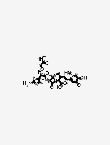 CNC(=O)CO/N=C(\C(=O)N[C@@H]1C(=O)N2C(C(=O)O)=C(C=Cc3cc(=O)c(O)cn3O)CS[C@H]12)c1csc(N)n1